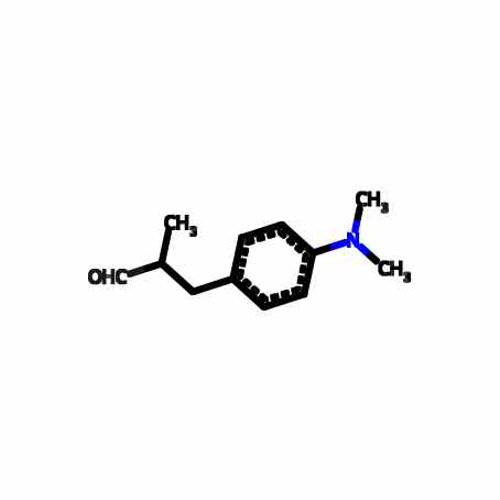 CC(C=O)Cc1ccc(N(C)C)cc1